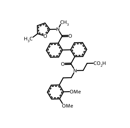 COc1cccc(CCN(CCC(=O)O)C(=O)c2ccccc2-c2ccccc2C(=O)N(C)c2ccc(C)o2)c1OC